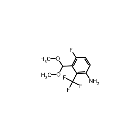 COC(OC)c1c(F)ccc(N)c1C(F)(F)F